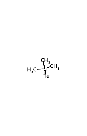 C[Si](C)(C)[Te]